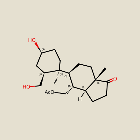 CC(=O)OC[C@@H]1[C@@H]([C@]2(C)CC[C@H](O)C[C@@H]2CO)CC[C@]2(C)C(=O)CC[C@@H]12